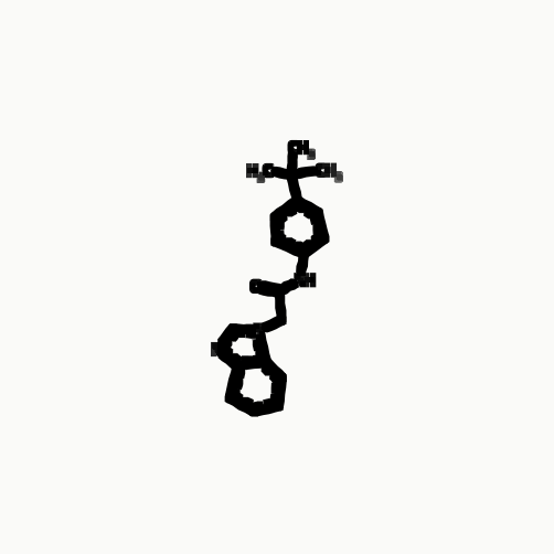 CC(C)(C)c1ccc(NC(=O)Cn2cnc3ccccc32)cc1